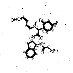 CN(/C=C\C=C/C=O)C(C(=O)N[C@H]1Cc2ccccc2C1NC(=O)OC(C)(C)C)c1ccc(F)cc1F